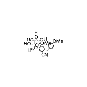 COc1ccc(Cc2cc([C@]3(OC)O[C@H](CO)[C@@H](O)[C@H](O)[C@H]3O)c(OC(C)C)cc2C#N)cc1